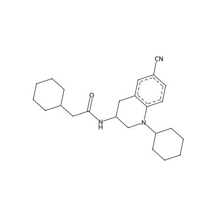 N#Cc1ccc2c(c1)CC(NC(=O)CC1CCCCC1)CN2C1CCCCC1